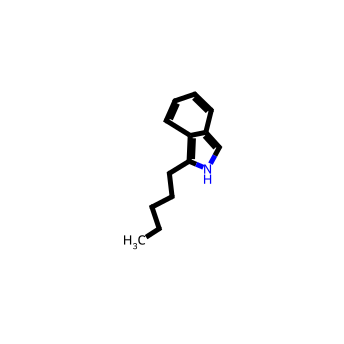 CCCCCc1[nH]cc2ccccc12